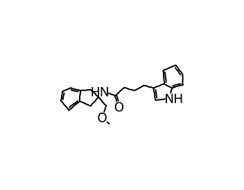 COCC1(NC(=O)CCCc2c[nH]c3ccccc23)Cc2ccccc2C1